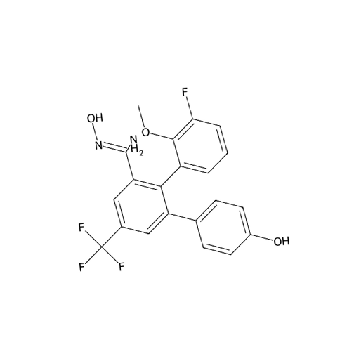 COc1c(F)cccc1-c1c(/C(N)=N/O)cc(C(F)(F)F)cc1-c1ccc(O)cc1